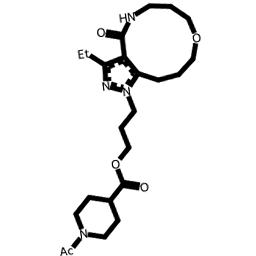 CCc1nn(CCCOC(=O)C2CCN(C(C)=O)CC2)c2c1C(=O)NCCCOCCC2